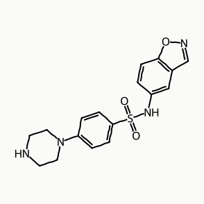 O=S(=O)(Nc1ccc2oncc2c1)c1ccc(N2CCNCC2)cc1